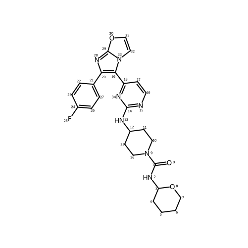 O=C(NC1CCCCO1)N1CCC(Nc2nccc(-c3c(-c4ccc(F)cc4)nc4occn34)n2)CC1